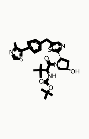 Cc1ncsc1-c1ccc(Cc2cnc([C@@H]3C[C@@H](O)CN3C(=O)C(NC(=O)OC(C)(C)C)C(C)(C)C)s2)cc1